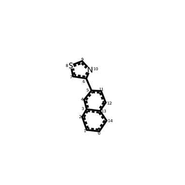 c1ccc2cc(-c3cscn3)ccc2c1